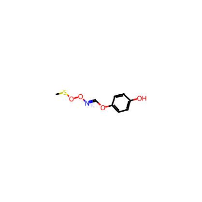 CSOO/N=C/Oc1ccc(O)cc1